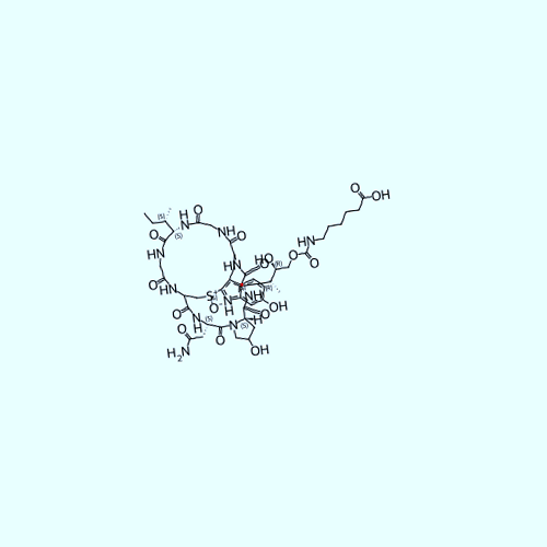 CC[C@H](C)[C@@H]1NC(=O)CNC(=O)C2Cc3c([nH]c4cc(O)ccc34)[S@+]([O-])CC(NC(=O)CNC1=O)C(=O)N[C@@H](CC(N)=O)C(=O)N1CC(O)C[C@H]1C(=O)N[C@@H]([C@@H](C)[C@@H](O)COC(=O)NCCCCCC(=O)O)C(=O)N2